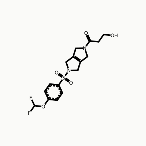 O=C(CCO)N1CC2=C(C1)CN(S(=O)(=O)c1ccc(OC(F)F)cc1)C2